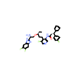 CC[C@@H](CCc1c(F)cncc1NC(=O)C[C@H](c1ccccc1)c1ccc(F)cc1)OC[C@H](N)c1nc2cc(F)c(F)cc2[nH]1